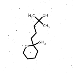 CC(C)(O)CCCC1([SiH3])CCCCO1